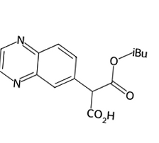 CCC(C)OC(=O)C(C(=O)O)c1ccc2nccnc2c1